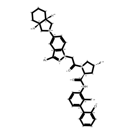 CC(=O)c1nn(CC(=O)N2C[C@H](F)C[C@H]2C(=O)Nc2cccc(-c3ccccc3Cl)c2F)c2ccc(N3C[C@H]4CCCC[C@H]4C3)cc12